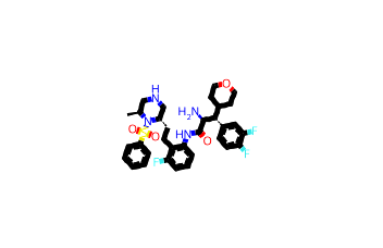 C[C@H]1CNC[C@H](CCc2c(F)cccc2NC(=O)[C@@H](N)[C@@H](c2ccc(F)c(F)c2)C2CCOCC2)N1S(=O)(=O)c1ccccc1